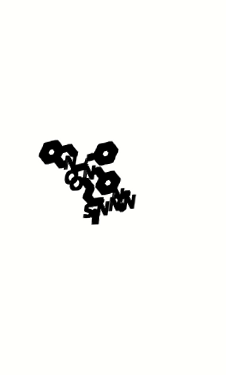 Cc1ncc(C=CC(=O)N(Cc2ccc(-n3cncn3)cc2)[C@@H](Cc2ccccc2)C(=O)N2CCc3ccccc3C2)s1